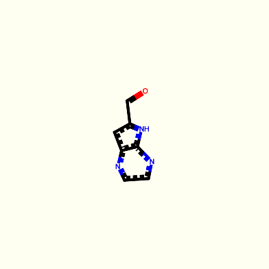 O=Cc1cc2nccnc2[nH]1